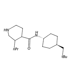 CCCC1CNCCC1C(=O)N[C@H]1CC[C@H](CC(C)(C)C)CC1